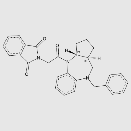 O=C1c2ccccc2C(=O)N1CC(=O)N1c2ccccc2N(Cc2ccccc2)C[C@@H]2CCC[C@H]21